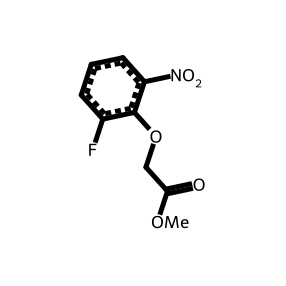 COC(=O)COc1c(F)cccc1[N+](=O)[O-]